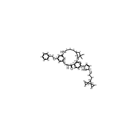 CC1(C)CC2CCCNc3cc(OCc4ccccc4)cc(n3)SNC(=O)c3ccc(N4C=CC(OCCC5C6(CC6)C56CC6)N4)nc3N1C2